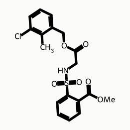 COC(=O)c1ccccc1S(=O)(=O)NCC(=O)OCc1cccc(Cl)c1C